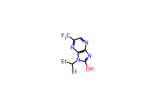 CCC(CC)n1c(O)nc2ncc(C(F)(F)F)nc21